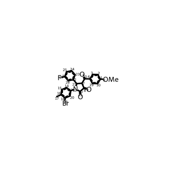 COc1ccc(C(=O)C2C(=O)C(=O)N(c3ccc(C)c(Br)c3)C2c2cccc(F)c2)cc1